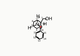 OC[C@H]1OC[C@H]2C[C@@H]1N2Cc1ccccc1